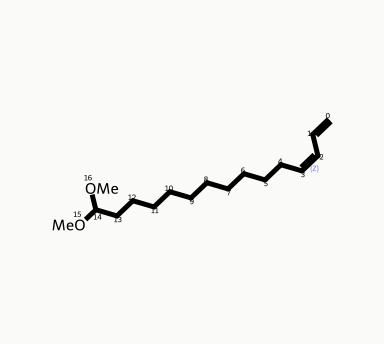 C=C/C=C\CCCCCCCCCCC(OC)OC